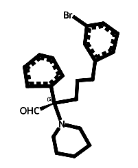 O=C[C@](CCCc1cccc(Br)c1)(c1ccccc1)N1CCCCC1